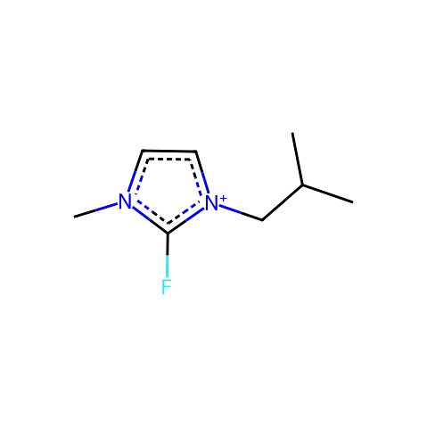 CC(C)C[n+]1ccn(C)c1F